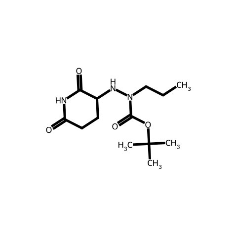 CCCN(NC1CCC(=O)NC1=O)C(=O)OC(C)(C)C